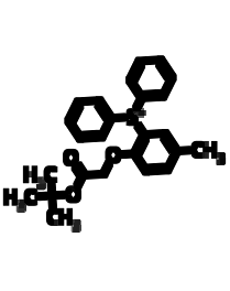 Cc1ccc(OCC(=O)OC(C)(C)C)c([S+](c2ccccc2)c2ccccc2)c1